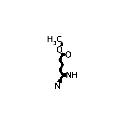 CCOC(=O)CCCC(=N)C#N